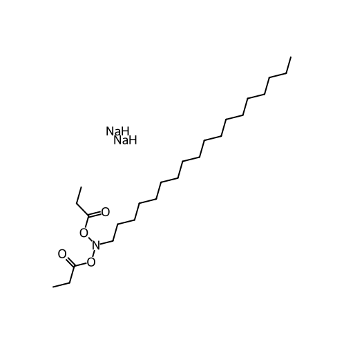 CCCCCCCCCCCCCCCCCCN(OC(=O)CC)OC(=O)CC.[NaH].[NaH]